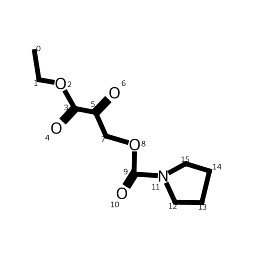 CCOC(=O)C(=O)COC(=O)N1CCCC1